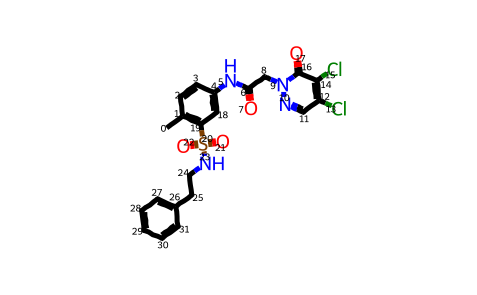 Cc1ccc(NC(=O)Cn2ncc(Cl)c(Cl)c2=O)cc1S(=O)(=O)NCCc1ccccc1